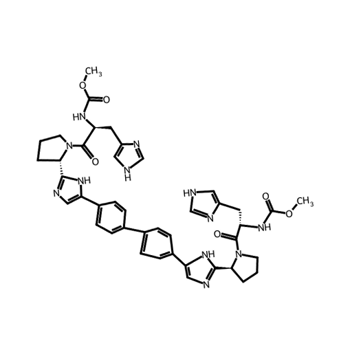 COC(=O)N[C@@H](Cc1c[nH]cn1)C(=O)N1CCC[C@H]1c1ncc(-c2ccc(-c3ccc(-c4cnc([C@@H]5CCCN5C(=O)[C@H](Cc5c[nH]cn5)NC(=O)OC)[nH]4)cc3)cc2)[nH]1